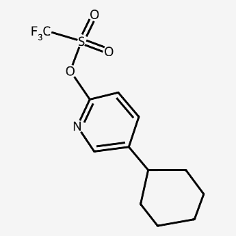 O=S(=O)(Oc1ccc(C2CCCCC2)cn1)C(F)(F)F